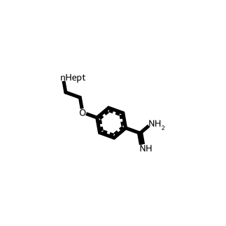 CCCCCCCCCOc1ccc(C(=N)N)cc1